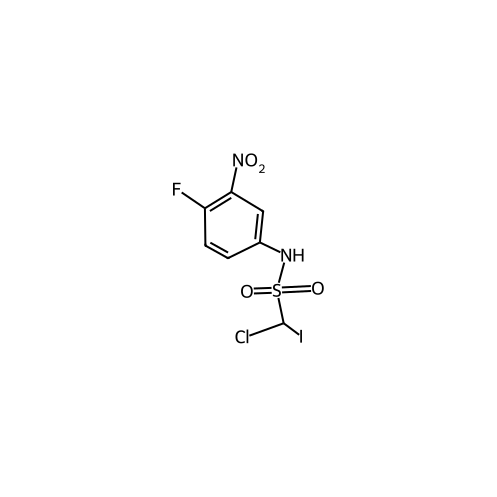 O=[N+]([O-])c1cc(NS(=O)(=O)C(Cl)I)ccc1F